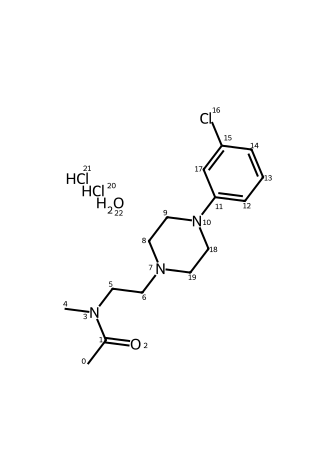 CC(=O)N(C)CCN1CCN(c2cccc(Cl)c2)CC1.Cl.Cl.O